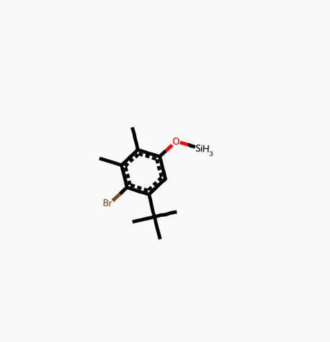 Cc1c(O[SiH3])cc(C(C)(C)C)c(Br)c1C